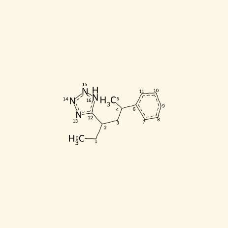 CCC(CC(C)c1ccccc1)c1nnn[nH]1